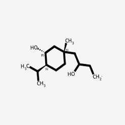 [CH2]CC(O)C[C@]1(C)CC[C@@H](C(C)C)[C@H](O)C1